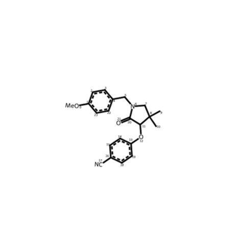 COc1ccc(CN2CC(C)(C)C(Oc3ccc(C#N)cc3)C2=O)cc1